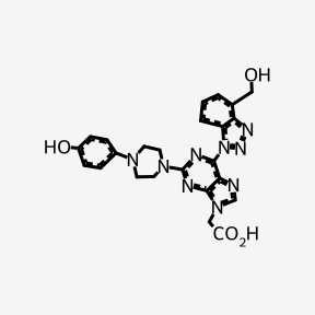 O=C(O)Cn1cnc2c(-n3nnc4c(CO)cccc43)nc(N3CCN(c4ccc(O)cc4)CC3)nc21